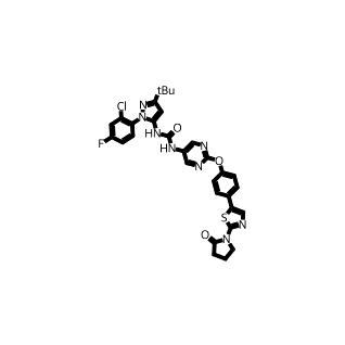 CC(C)(C)c1cc(NC(=O)Nc2cnc(Oc3ccc(-c4cnc(N5CCCC5=O)s4)cc3)nc2)n(-c2ccc(F)cc2Cl)n1